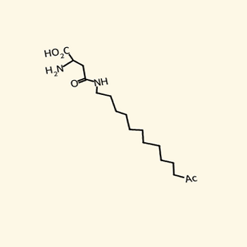 CC(=O)CCCCCCCCCCCNC(=O)CC(N)C(=O)O